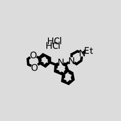 CCN1CCN(c2nc(-c3ccc4c(c3)OCCO4)cc3ccccc23)CC1.Cl.Cl